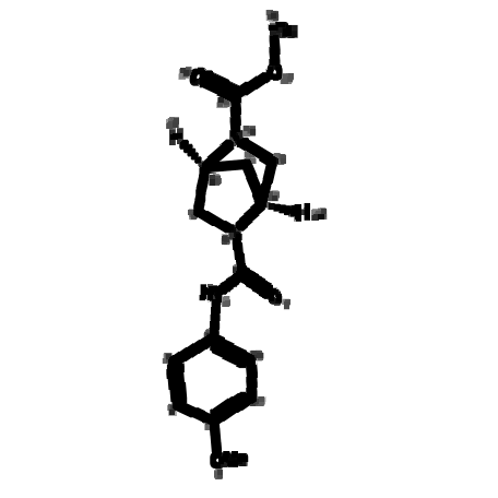 COc1ccc(NC(=O)N2C[C@@H]3C[C@H]2CN3C(=O)OC(C)(C)C)cc1